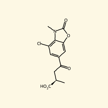 C[C@H](CC(=O)c1cc(Cl)c2c(c1)oc(=O)n2C)C(=O)O